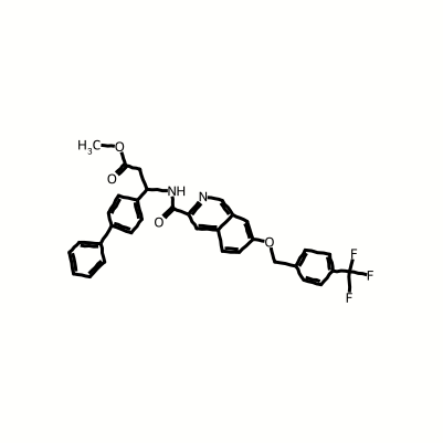 COC(=O)CC(NC(=O)c1cc2ccc(OCc3ccc(C(F)(F)F)cc3)cc2cn1)c1ccc(-c2ccccc2)cc1